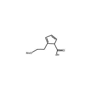 CCCC(=O)C1C=CC=C1CCOC